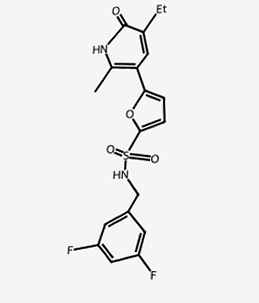 CCc1cc(-c2ccc(S(=O)(=O)NCc3cc(F)cc(F)c3)o2)c(C)[nH]c1=O